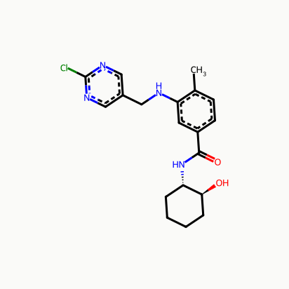 Cc1ccc(C(=O)N[C@H]2CCCC[C@@H]2O)cc1NCc1cnc(Cl)nc1